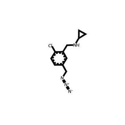 [N-]=[N+]=NCc1ccc(Cl)c(CNC2CC2)c1